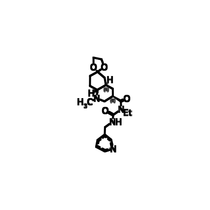 CCN(C(=O)NCc1cccnc1)C(=O)[C@@H]1C[C@@H]2CC3(CC[C@H]2N(C)C1)OCCO3